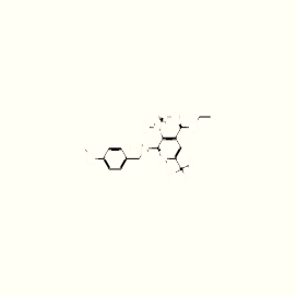 CCOC(=O)c1cc(C(F)(F)F)nc(NCc2ccc(OC)cc2)c1[N+](=O)[O-]